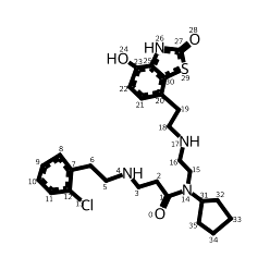 O=C(CCNCCc1ccccc1Cl)N(CCNCCc1ccc(O)c2[nH]c(=O)sc12)C1CCCC1